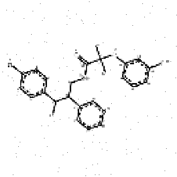 CC(c1ccc(Cl)cc1)C(CNC(=O)C(C)(C)Oc1cccc(F)c1)c1cccnc1